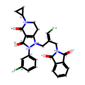 O=C1c2ccccc2C(=O)N1C/C(=C\F)Cn1c2c(c(=O)n1-c1cccc(F)c1)C(=O)N(C1CC1)CC2